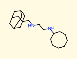 C1CCCC(NCCNCC23CC4CC(CC(C4)C2)C3)CCC1